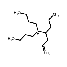 C=CCC(CCC)[SiH](CCCC)CCCC